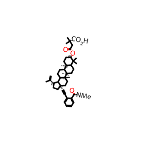 C=C(C)[C@@H]1CC[C@]2(C#Cc3ccccc3C(=O)NC)CC[C@]3(C)C(CCC4[C@@]5(C)CC[C@H](OC(=O)CC(C)(C)C(=O)O)C(C)(C)C5CC[C@]43C)C12